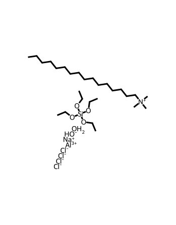 CCCCCCCCCCCCCCCC[N+](C)(C)C.CCO[Si](OCC)(OCC)OCC.O.[Al+3].[Cl-].[Cl-].[Cl-].[Cl-].[Na+].[OH-]